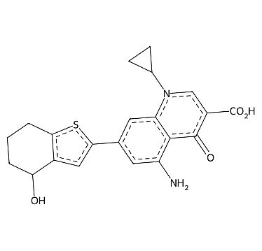 Nc1cc(-c2cc3c(s2)CCCC3O)cc2c1c(=O)c(C(=O)O)cn2C1CC1